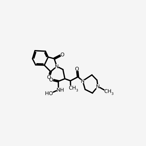 CC(C(=O)N1CCN(C)CC1)C(CN1C(=O)c2ccccc2C1=O)C(=O)NO